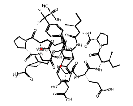 CC[C@H](C)[C@H](NC(=O)[C@@H]1CCCN1C(=O)[C@@H](NC(=O)[C@H](CCC(=O)O)NC(=O)[C@H](CCC(=O)O)NC(=O)[C@H](Cc1ccc(C(F)(F)P(=O)(O)O)cc1)NC(=O)[C@H](CCC(N)=O)NC(=O)[C@@H]1CCCN1C(=O)[C@@H](N)CCC(=O)O)[C@@H](C)CC)C(=O)N[C@@H](Cc1ccc(O)cc1)C(=O)N[C@@H](CC(C)C)C(=O)O